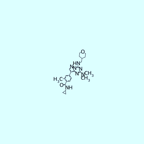 Cc1cc(-c2cnn3c(NCC4CCOCC4)nc(N(C)C)nc23)ccc1C(=O)NC1CC1